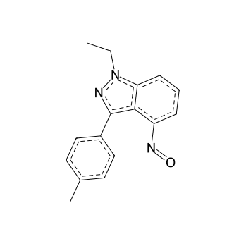 CCn1nc(-c2ccc(C)cc2)c2c(N=O)cccc21